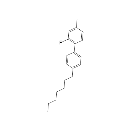 CCCCCCCc1ccc(-c2ccc(C)cc2F)cc1